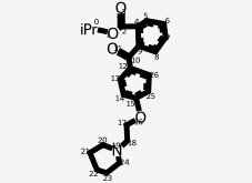 CC(C)OC(=O)c1ccccc1C(=O)c1ccc(OCCN2CCCCC2)cc1